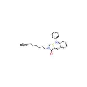 CCCCCCCCCCCCCCCCN1CSC(=CC2=CC=CCC2=Nc2ccccc2)C1=O